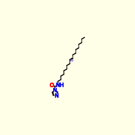 CCCCCCCC/C=C/CCCCCCCCNC(=O)n1ccnc1